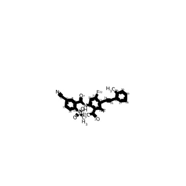 CC(=O)c1c(NC(=O)c2cc(C#N)ccc2S(C)(=O)=O)cc(F)c(C#Cc2ccccc2C)c1F